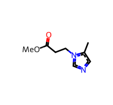 COC(=O)CCn1cncc1C